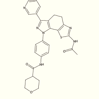 CC(=O)Nc1nc2c(s1)-c1c(c(-c3cccnc3)nn1-c1ccc(NC(=O)C3CCOCC3)cc1)CC2